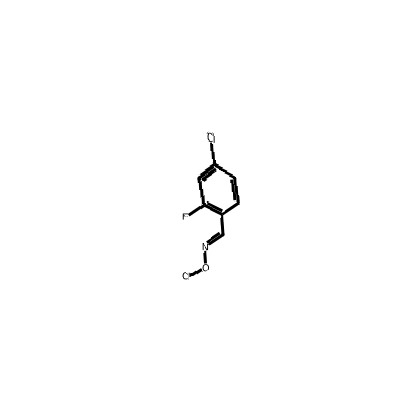 Fc1cc(Cl)ccc1C=NOCl